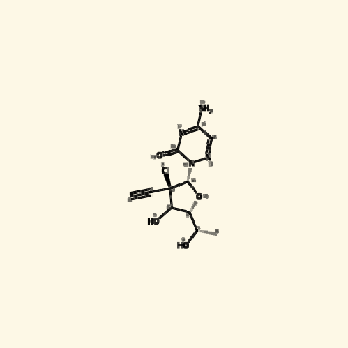 C#C[C@@]1(Cl)C(O)[C@@H]([C@H](C)O)O[C@H]1n1ncc(N)nc1=O